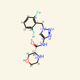 O=C(Nc1cn(Cc2c(F)cccc2F)nn1)[C@H]1COCCN1